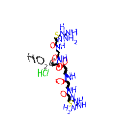 Cl.N=C(N)Nc1nc(C(=O)NCCC(=O)NCCC(=O)OC(CC(=O)O)NC(=O)CCNC(=O)c2csc(NC(=N)N)n2)cs1